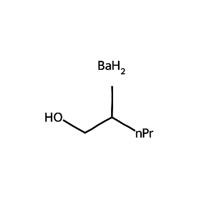 CCCC(C)CO.[BaH2]